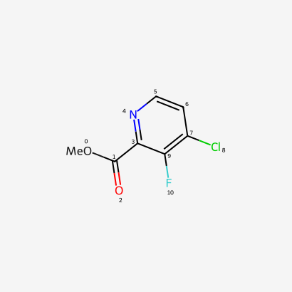 COC(=O)c1nccc(Cl)c1F